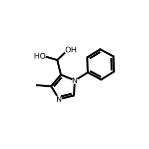 Cc1ncn(-c2ccccc2)c1C(O)O